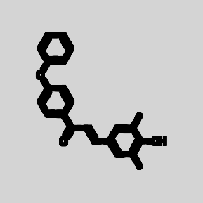 Cc1cc(/C=C/C(=O)c2ccc(Oc3ccccc3)cc2)cc(C)c1O